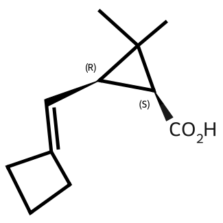 CC1(C)[C@H](C=C2CCC2)[C@@H]1C(=O)O